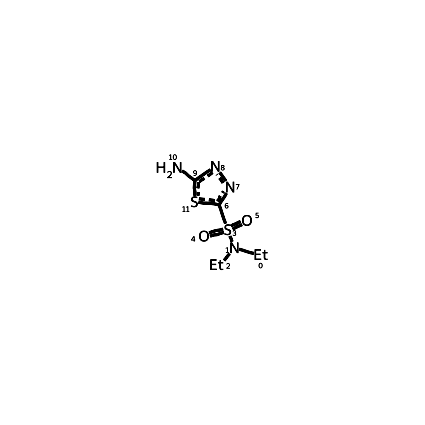 CCN(CC)S(=O)(=O)c1nnc(N)s1